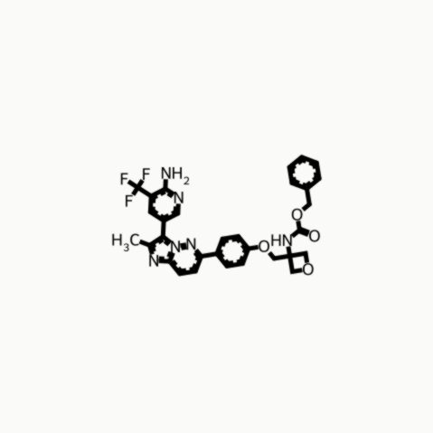 Cc1nc2ccc(-c3ccc(OCC4(NC(=O)OCc5ccccc5)COC4)cc3)nn2c1-c1cnc(N)c(C(F)(F)F)c1